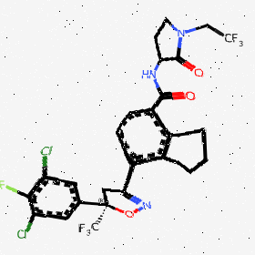 O=C(NC1CCN(CC(F)(F)F)C1=O)c1ccc(C2=NO[C@](c3cc(Cl)c(F)c(Cl)c3)(C(F)(F)F)C2)c2c1CCC2